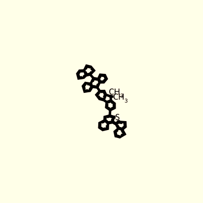 CC1(C)c2ccc(-c3cc4ccccc4c4c3sc3ccc5ccccc5c34)cc2-c2ccc(-c3c4ccccc4c(-c4cccc5ccccc45)c4ccccc34)cc21